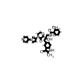 Cc1[nH]c2ccc(CC(O)(CNC(=O)c3ccccc3O)[C@H]3OCCN(c4ccn(-c5ccnnc5)n4)C3=O)cc2c1Cl